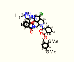 COc1ccc(COC(=O)[C@H]2CCCC[C@H]2C(=O)N2CCc3c(Br)ccc(OC(C)/C(N)=C/N(C)N)c3C2CN2Cc3ccccc3C2=O)c(OC)c1